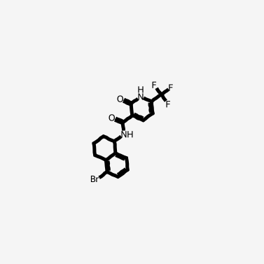 O=C(NC1CCCc2c(Br)cccc21)c1ccc(C(F)(F)F)[nH]c1=O